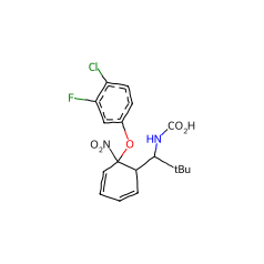 CC(C)(C)C(NC(=O)O)C1C=CC=CC1(Oc1ccc(Cl)c(F)c1)[N+](=O)[O-]